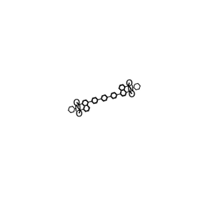 O=C1c2cccc3c(-c4ccc(-c5ccc(-c6ccc(-c7ccc8c9c(cccc79)C(=O)N(C7CCCCC7)C8=O)cc6)cc5)cc4)ccc(c23)C(=O)N1C1CCCCC1